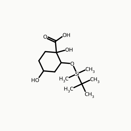 CC(C)(C)[Si](C)(C)OC1CC(O)CCC1(O)C(=O)O